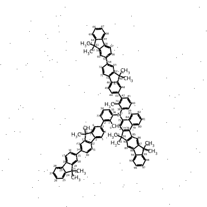 Cc1c(-c2ccc3c(c2)C(C)(C)c2cc(-c4ccc5c(c4)C(C)(C)c4ccccc4-5)ccc2-3)cccc1N(c1cccc(-c2ccc3c(c2)C(C)(C)c2cc(-c4ccc5c(c4)C(C)(C)c4ccccc4-5)ccc2-3)c1C)c1cc2c(c3ccccc13)-c1cc3c(cc1C2(C)C)-c1ccccc1C3(C)C